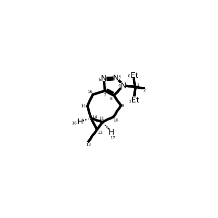 CCC(C)(CC)n1nnc2c1CC[C@H]1C(C)[C@H]1CC2